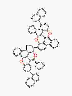 c1ccc2c(-c3ccc4oc5c6c7c(oc8c-6c4c3c3ccccc83)c(-c3ccc4c6ccccc6c6oc8ccc(-c9cccc%10ccccc9%10)c9c%10ccccc%10c%10oc3c4c6-c%10c89)ccc7c3ccccc53)cccc2c1